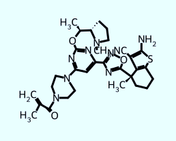 C=C(C)C(=O)N1CCN(c2cc(-c3noc([C@@]4(C)CCCc5sc(N)c(C#N)c54)n3)nc(O[C@@H](C)[C@@H]3CCCN3C)n2)CC1